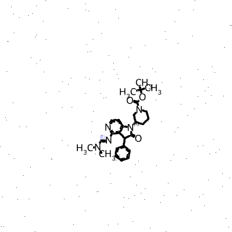 CN(C)/C=N/c1nccc2c1C(c1ccccc1)C(=O)N2[C@@H]1CCCN(C(=O)OC(C)(C)C)C1